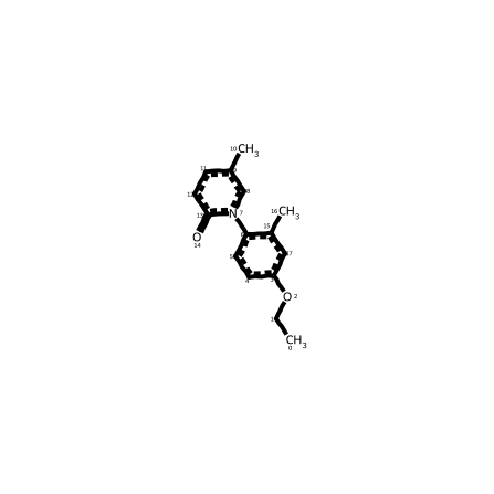 CCOc1ccc(-n2cc(C)ccc2=O)c(C)c1